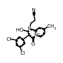 Cc1cc[n+]2c(=O)c(-c3cc(Cl)cc(Cl)c3)c(O)n(CCC#N)c2c1